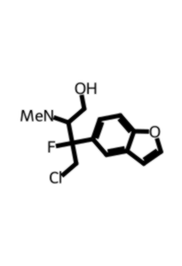 CNC(CO)C(F)(CCl)c1ccc2occc2c1